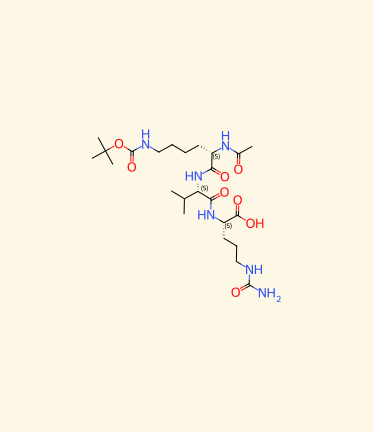 CC(=O)N[C@@H](CCCCNC(=O)OC(C)(C)C)C(=O)N[C@H](C(=O)N[C@@H](CCCNC(N)=O)C(=O)O)C(C)C